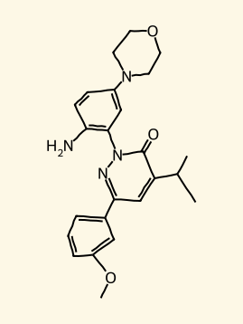 COc1cccc(-c2cc(C(C)C)c(=O)n(-c3cc(N4CCOCC4)ccc3N)n2)c1